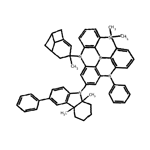 CC1(N2c3cc(N4c5ccc(-c6ccccc6)cc5C5(C)CCCCC45C)cc4c3B3c5c(cccc5[Si](C)(C)c5cccc2c53)N4c2ccccc2)C=C2CC3CC(C1)C23